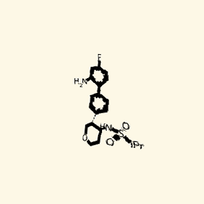 CC(C)S(=O)(=O)N[C@H]1CCOC[C@@H]1c1ccc(-c2ccc(F)cc2N)cc1